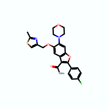 CNC(=O)c1c(-c2ccc(F)cc2)oc2cc(N3CCOCC3)c(OCc3csc(C)n3)cc12